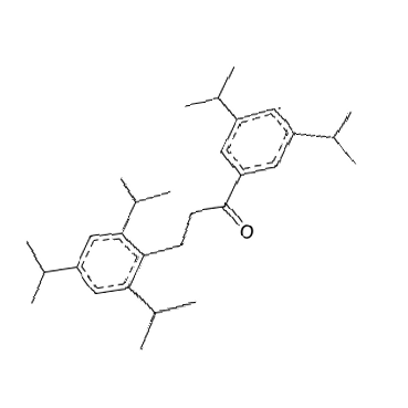 CC(C)c1[c]c(C(C)C)cc(C(=O)CCc2c(C(C)C)cc(C(C)C)cc2C(C)C)c1